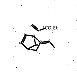 C=CC(=O)OCC.CC=C1CC2C=CC1C2